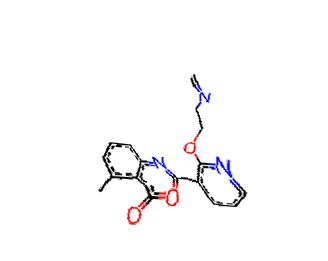 C=NCCOc1ncccc1-c1nc2cccc(C)c2c(=O)o1